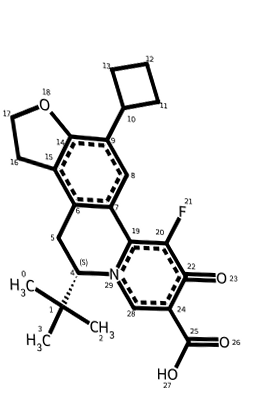 CC(C)(C)[C@@H]1Cc2c(cc(C3CCC3)c3c2CCO3)-c2c(F)c(=O)c(C(=O)O)cn21